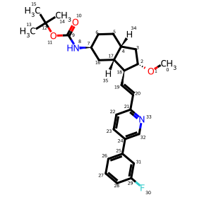 CO[C@H]1C[C@H]2CC[C@H](NC(=O)OC(C)(C)C)C[C@H]2[C@@H]1/C=C/c1ccc(-c2cccc(F)c2)cn1